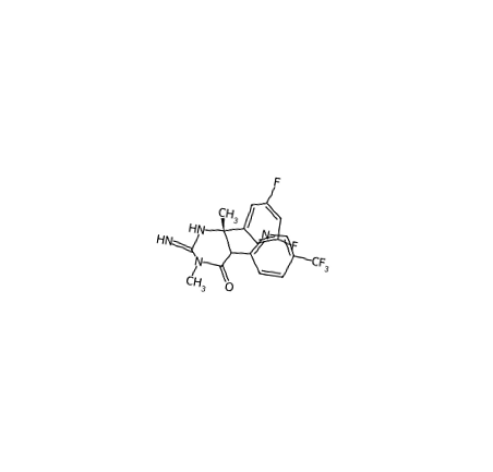 CN1C(=N)N[C@](C)(c2cc(F)cc(F)c2)C(c2ccc(C(F)(F)F)cn2)C1=O